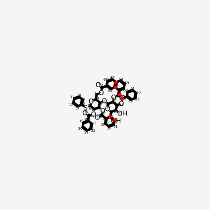 O=C(OCC1O[C@@H](Sc2ccccc2)[C@@H](OC(=O)c2ccccc2)C(OC(=O)c2ccccc2)[C@@H]1O[C@@H]1OC(CO)[C@H](O)C(OC(=O)c2ccccc2)[C@@H]1OC(=O)c1ccccc1)c1ccccc1